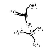 C[SiH](C)C.NC(=O)C(F)(F)F